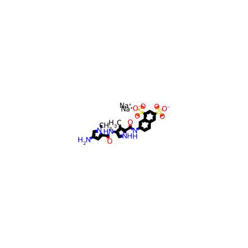 Cc1c(NC(=O)c2cc(N)cn2C)c[nH]c1C(=O)Nc1ccc2cc(S(=O)(=O)[O-])cc(S(=O)(=O)[O-])c2c1.[Na+].[Na+]